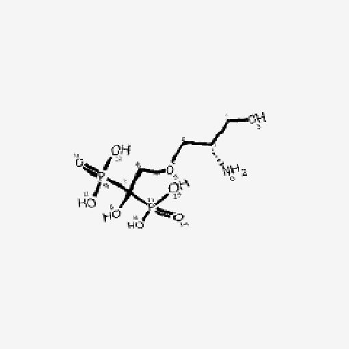 N[C@@H](CO)COCC(O)(P(=O)(O)O)P(=O)(O)O